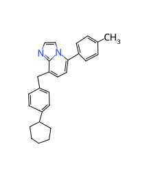 Cc1ccc(-c2ccc(Cc3ccc(C4CCCCC4)cc3)c3nccn23)cc1